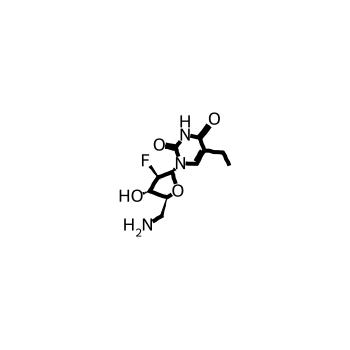 CCc1cn([C@H]2O[C@@H](CN)[C@H](O)[C@H]2F)c(=O)[nH]c1=O